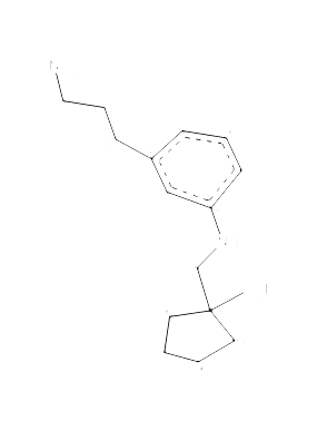 NCCCc1cccc(NCC2(O)CCCC2)c1